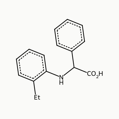 CCc1ccccc1NC(C(=O)O)c1ccccc1